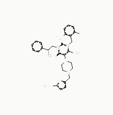 Cc1ccc(CN2CCN(c3c(C)n(Cc4c(F)cccc4C(F)(F)F)c(=O)n(C[C@@H](N)c4ccccc4)c3=O)CC2)o1